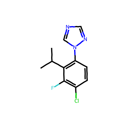 CC(C)c1c(-n2cncn2)ccc(Cl)c1F